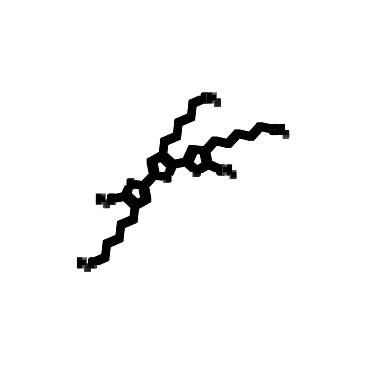 CCCCCCc1cc(-c2cc(CCCCCC)c(-c3cc(CCCCCC)c(C)s3)s2)sc1C